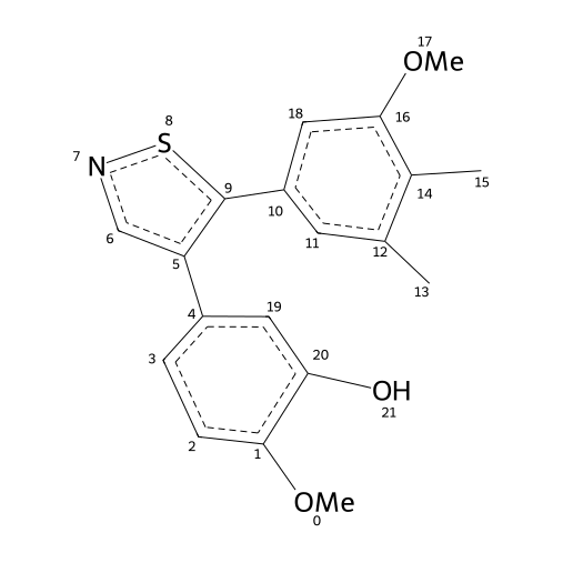 COc1ccc(-c2cnsc2-c2cc(C)c(C)c(OC)c2)cc1O